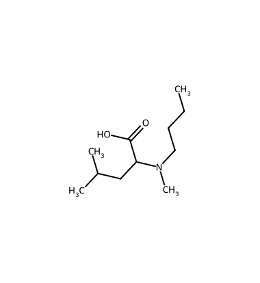 CCCCN(C)C(CC(C)C)C(=O)O